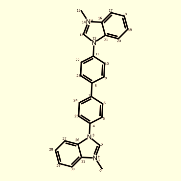 C[n+]1cn(-c2ccc(-c3ccc(-n4c[n+](C)c5ccccc54)cc3)cc2)c2ccccc21